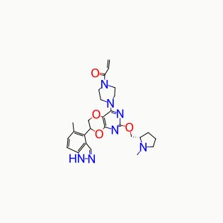 C=CC(=O)N1CCN(c2nc(OC[C@@H]3CCCN3C)nc3c2OCC(c2c(C)ccc4[nH]ncc24)O3)CC1